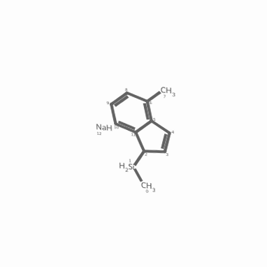 C[SiH2]C1C=Cc2c(C)cccc21.[NaH]